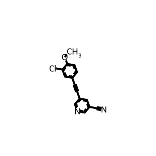 COc1ccc(C#Cc2cncc(C#N)c2)cc1Cl